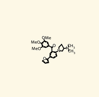 COc1cc(C(=O)c2cc(-c3ccco3)ccc2N2CCC(N(C)C)C2)cc(OC)c1OC